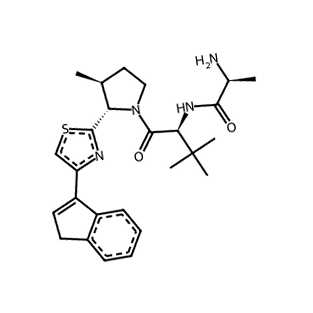 C[C@H](N)C(=O)N[C@H](C(=O)N1CC[C@H](C)[C@H]1c1nc(C2=CCc3ccccc32)cs1)C(C)(C)C